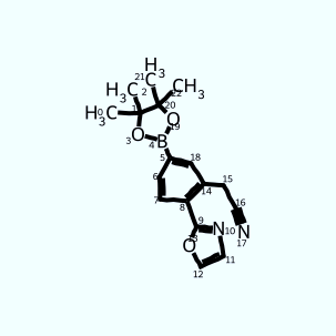 CC1(C)OB(c2ccc(-c3ncco3)c(CC#N)c2)OC1(C)C